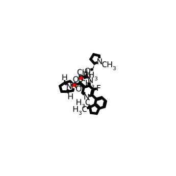 CN1CCC[C@H]1COc1nc(N2C[C@H]3CC[C@@H](C2)N3C(=O)OC(C)(C)C)c2cnc(-c3cccc4c3C(C)(C)CC4)c(F)c2n1